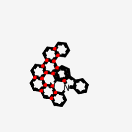 c1ccc(-c2ccc(-c3ccccc3N(c3ccccc3-n3c4ccccc4c4ccccc43)c3cccc(-c4ccccc4)c3-c3ccccc3-c3ccccc3)cc2)cc1